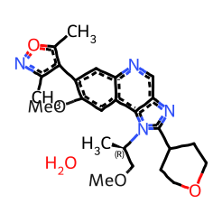 COC[C@@H](C)n1c(C2CCOCC2)nc2cnc3cc(-c4c(C)noc4C)c(OC)cc3c21.O